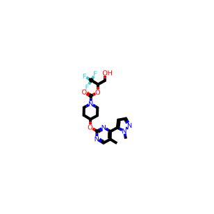 Cc1cnc(OC2CCN(C(=O)OC(CO)C(F)(F)F)CC2)nc1-c1ccnn1C